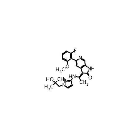 COc1cccc(F)c1-c1cc2c(cn1)NC(=O)C2=C(C)Nc1ccn(CC(C)(C)O)n1